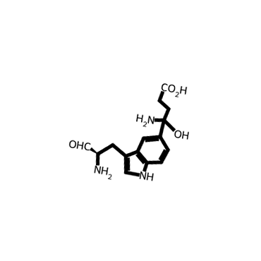 N[C@@H](C=O)Cc1c[nH]c2ccc(C(N)(O)CCC(=O)O)cc12